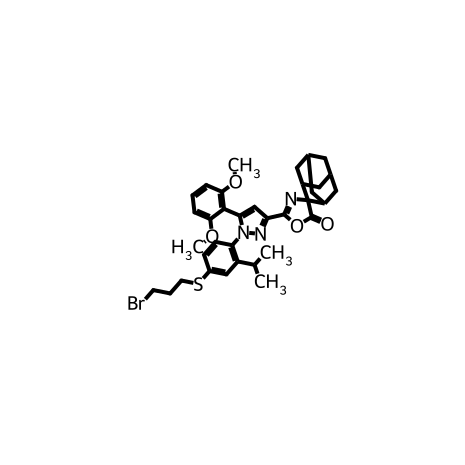 COc1cccc(OC)c1-c1cc(C2=NC3(C(=O)O2)C2CC4CC(C2)CC3C4)nn1-c1ccc(SCCCBr)cc1C(C)C